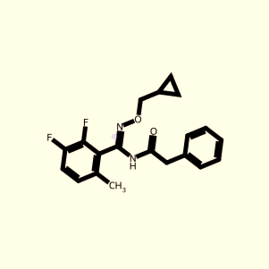 Cc1ccc(F)c(F)c1/C(=N/OCC1CC1)NC(=O)Cc1ccccc1